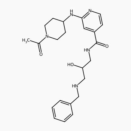 CC(=O)N1CCC(Nc2cc(C(=O)NCC(O)CNCc3ccccc3)ccn2)CC1